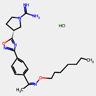 CCCCCCCO/N=C(/C)c1ccc(-c2noc([C@@H]3CCN(C(=N)N)C3)n2)cc1.Cl